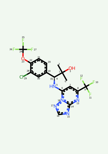 CC(C)(O)[C@@H](Nc1cc(C(F)(F)F)nc2ncnn12)c1ccc(OC(F)(F)F)c(Cl)c1